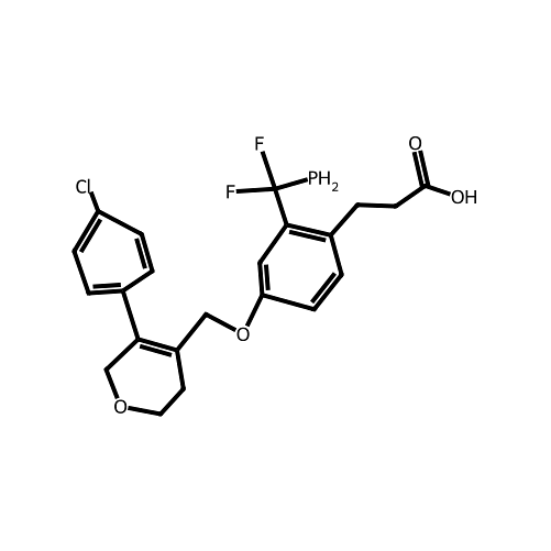 O=C(O)CCc1ccc(OCC2=C(c3ccc(Cl)cc3)COCC2)cc1C(F)(F)P